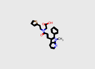 Cn1c(-c2ccccc2)c(/C=C/C(=O)N(CCc2cccs2)CC(=O)O)c2cccnc21